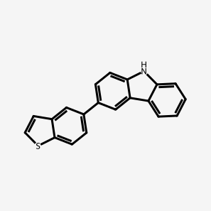 c1ccc2c(c1)[nH]c1ccc(-c3ccc4sccc4c3)cc12